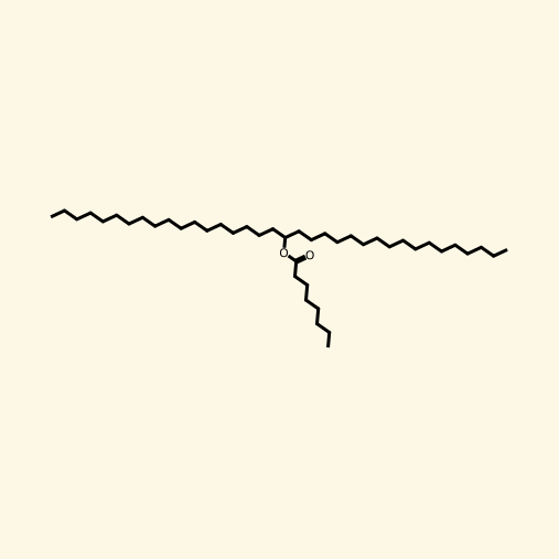 CCCCCCCCCCCCCCCCCCC(CCCCCCCCCCCCCCCCC)OC(=O)CCCCCCC